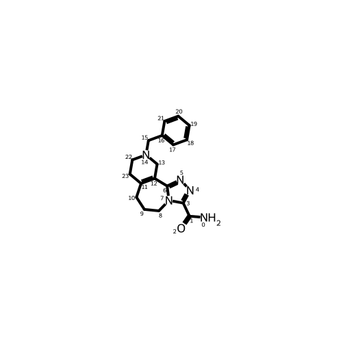 NC(=O)c1nnc2n1CCCC1=C2CN(Cc2ccccc2)CC1